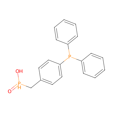 O=[PH](O)Cc1ccc(P(c2ccccc2)c2ccccc2)cc1